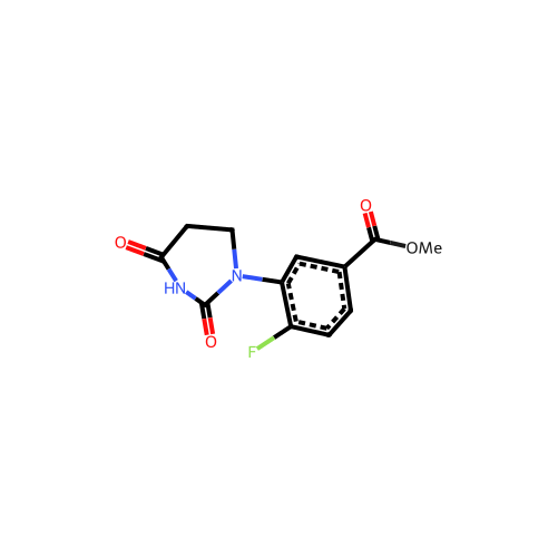 COC(=O)c1ccc(F)c(N2CCC(=O)NC2=O)c1